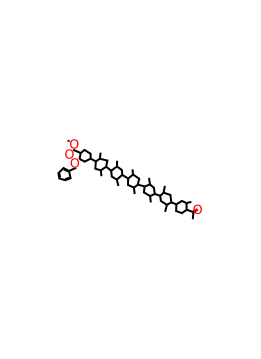 COC(=O)C1CCC(C2CC(C)C(C3CC(C)C(C4CC(C)C(C5CC(C)C(C6CC(C)C(C7CCC(C(C)=O)C(C)C7)CC6C)CC5C)CC4C)CC3C)CC2C)CC1OCc1ccccc1